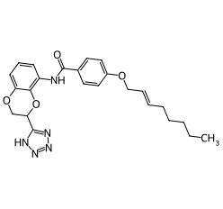 CCCCC/C=C/COc1ccc(C(=O)Nc2cccc3c2OC(c2nnn[nH]2)CO3)cc1